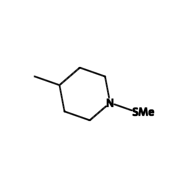 CSN1CCC(C)CC1